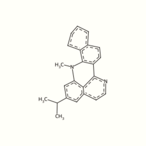 CC(C)c1cc2c3c(nccc3c1)-c1ccc3ccccc3c1N2C